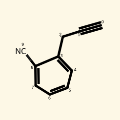 C#C[CH]c1ccccc1C#N